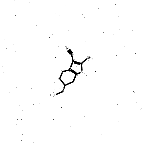 CCC1CCc2c(sc(N)c2C#N)C1